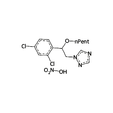 CCCCCOC(Cn1cncn1)c1ccc(Cl)cc1Cl.O=[N+]([O-])O